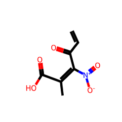 C=CC(=O)C(=C(C)C(=O)O)[N+](=O)[O-]